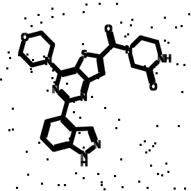 O=C1CN(C(=O)c2cc3nc(-c4cccc5[nH]ncc45)nc(N4CCOCC4)c3s2)CCN1